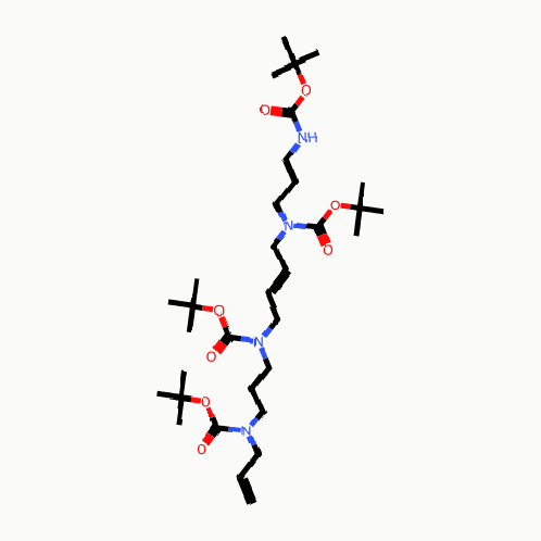 C=CCN(CCCN(CC=CCN(CCCNC(=O)OC(C)(C)C)C(=O)OC(C)(C)C)C(=O)OC(C)(C)C)C(=O)OC(C)(C)C